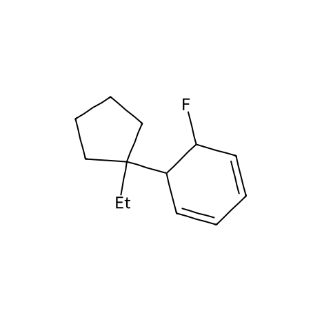 CCC1(C2C=CC=CC2F)CCCC1